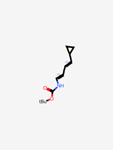 CC(C)(C)OC(=O)N/C=C/C=C/C1CC1